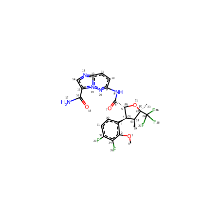 COc1c([C@H]2[C@H](C(=O)Nc3ccc4ncc(C(N)=O)n4n3)O[C@@](C)(C(F)(F)F)[C@H]2C)ccc(F)c1F